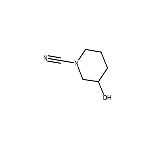 N#CN1CCCC(O)C1